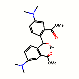 CCOC(c1ccc(N(C)C)cc1C(=O)OC)c1ccc(N(C)C)cc1C(=O)OC